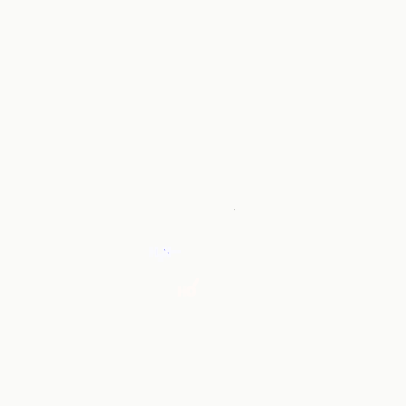 CCCCCC(C)(C)c1ccc(O)c(N)c1